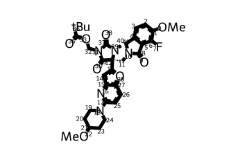 COc1ccc2c(c1F)C(=O)N(C[C@]1(c3cc4nc(N5CCC(OC)CC5)ccc4o3)C(=O)N(COC(=O)C(C)(C)C)C(=O)N1C)C2